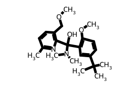 COCc1ccc(C)nc1C(O)(c1cc(C(C)(C)C)ccc1OC)N(C)C